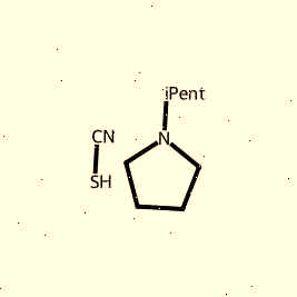 CCCC(C)N1CCCC1.N#CS